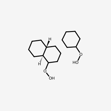 OOC1CCCCC1.OOC1CCC[C@H]2CCCC[C@H]12